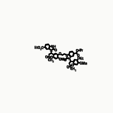 CCOC(=O)c1ccc2[nH]c(=O)n(C(CS(C)(=O)=O)c3ccc(OC)c(OCCn4c(=O)n(C(CS(C)(=O)=O)c5ccc(OC)c(OCC)c5)c5cc(C(=O)OC(C)C)ccc54)c3)c2c1